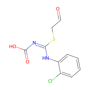 O=CCS/C(=N/C(=O)O)Nc1ccccc1Cl